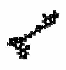 Fc1cc(CNCCCCOCCNc2cc(-c3ccncc3Cl)cc3[nH]ncc23)cc(F)c1OC(F)(F)F